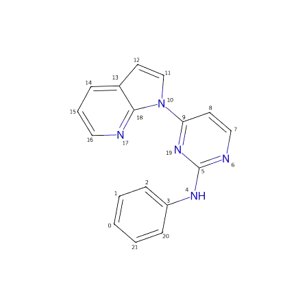 c1ccc(Nc2nccc(-n3ccc4cccnc43)n2)cc1